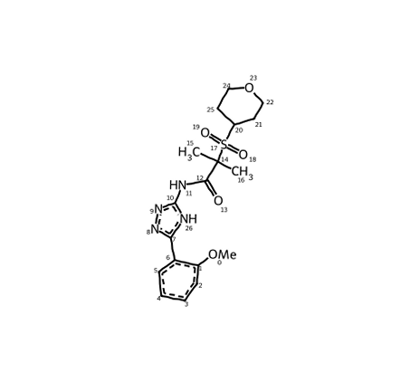 COc1ccccc1-c1nnc(NC(=O)C(C)(C)S(=O)(=O)C2CCOCC2)[nH]1